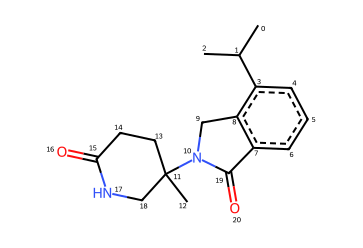 CC(C)c1cccc2c1CN(C1(C)CCC(=O)NC1)C2=O